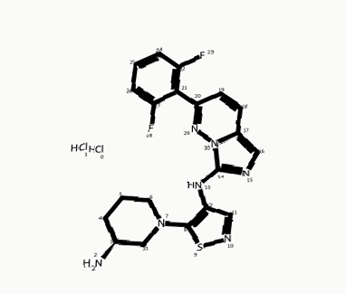 Cl.Cl.N[C@H]1CCCN(c2sncc2Nc2ncc3ccc(-c4c(F)cccc4F)nn23)C1